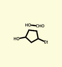 CCC1CCC(O)C1.O=CO